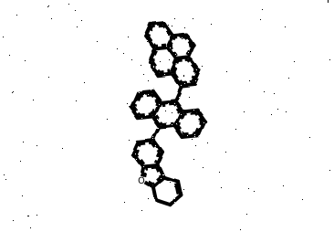 C1=Cc2c(oc3ccc(-c4c5ccccc5c(-c5ccc6ccc7cccc8ccc5c6c78)c5ccccc45)cc23)CC1